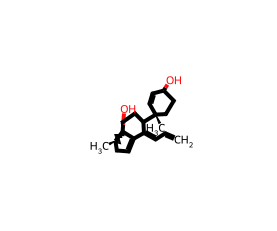 C=C/C=C1/C2=CC[C@@]3(C)CCC(O)[C@@]23CCC1[C@]1(C)C=CC(O)CC1